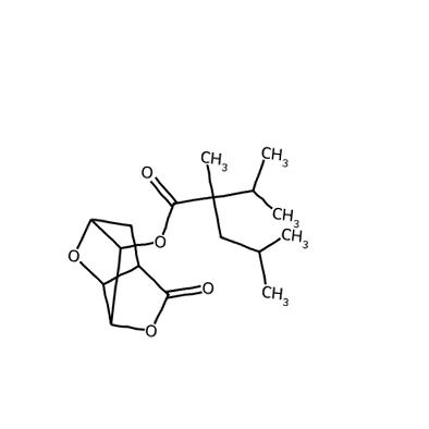 CC(C)CC(C)(C(=O)OC1C2CC3C(=O)OC1C3O2)C(C)C